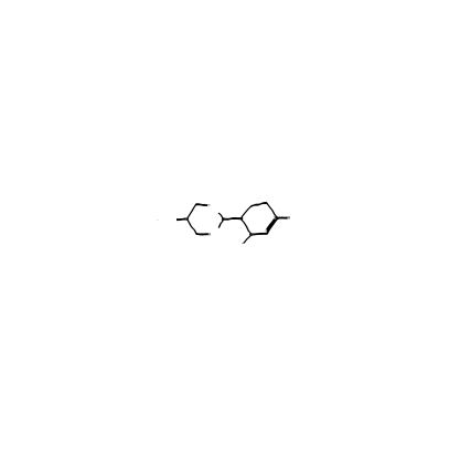 CC1=CC(C)C(C2OCC(C=O)CO2)CC1